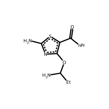 CCCC(=O)c1sc(N)nc1OC(N)CC